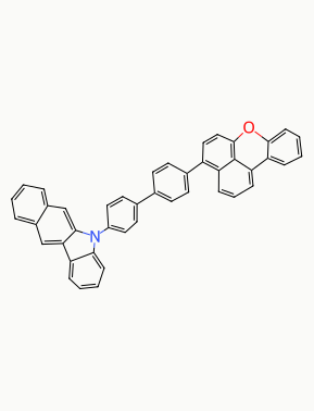 c1ccc2c(c1)Oc1ccc(-c3ccc(-c4ccc(-n5c6ccccc6c6cc7ccccc7cc65)cc4)cc3)c3cccc-2c13